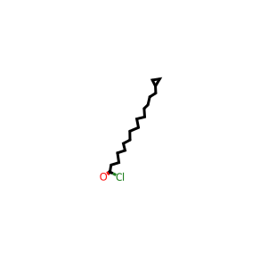 O=C(Cl)CCCCCCCCCCCCCCC1CC1